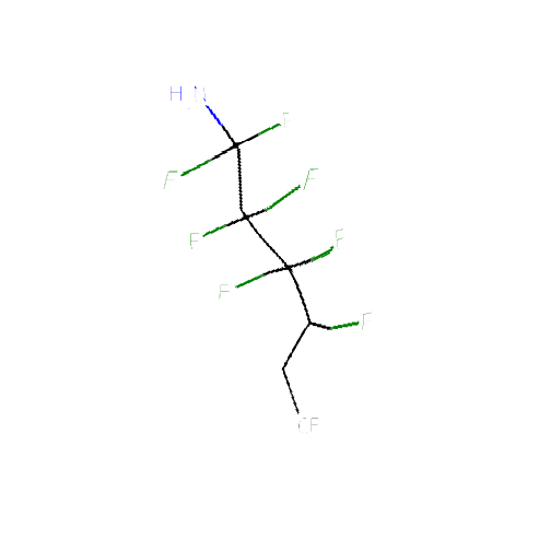 NC(F)(F)C(F)(F)C(F)(F)C(F)CC(F)(F)F